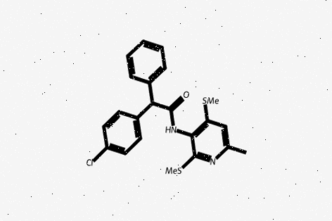 CSc1cc(C)nc(SC)c1NC(=O)C(c1ccccc1)c1ccc(Cl)cc1